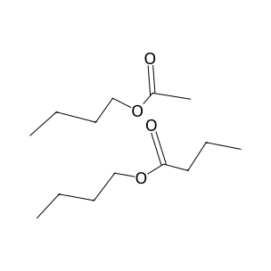 CCCCOC(=O)CCC.CCCCOC(C)=O